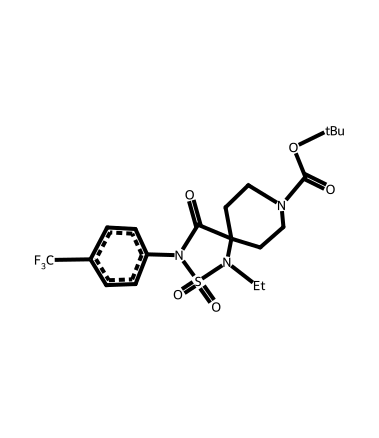 CCN1C2(CCN(C(=O)OC(C)(C)C)CC2)C(=O)N(c2ccc(C(F)(F)F)cc2)S1(=O)=O